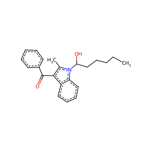 CCCCCC(O)n1c(C)c(C(=O)c2ccccc2)c2ccccc21